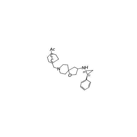 CC(=O)C12CCC(CN3CCC4(CC3)CC(N[C@@H]3C[C@H]3c3ccccc3)CO4)(CC1)CC2